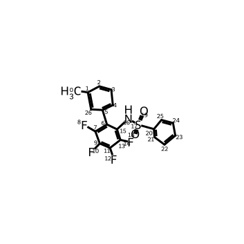 Cc1cccc(-c2c(F)c(F)c(F)c(F)c2NS(=O)(=O)c2ccccc2)c1